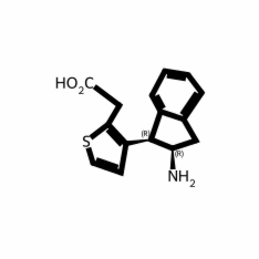 N[C@@H]1Cc2ccccc2[C@@H]1c1ccsc1CC(=O)O